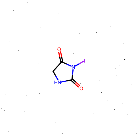 O=C1CNC(=O)N1I